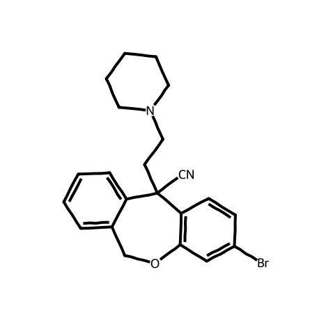 N#CC1(CCN2CCCCC2)c2ccccc2COc2cc(Br)ccc21